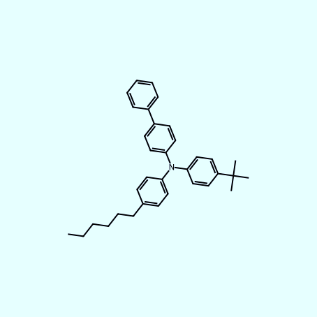 CCCCCCc1ccc(N(c2ccc(-c3ccccc3)cc2)c2ccc(C(C)(C)C)cc2)cc1